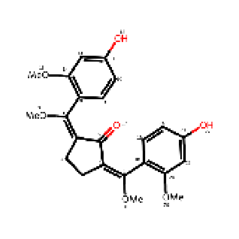 COC(=C1CCC(=C(OC)c2ccc(O)cc2OC)C1=O)c1ccc(O)cc1OC